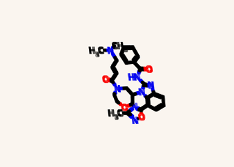 Cc1noc(-c2cccc3nc(NC(=O)c4ccccc4)n(C4COCCN(C(=O)C=CCN(C)C)C4)c23)n1